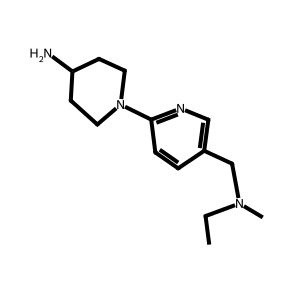 CCN(C)Cc1ccc(N2CCC(N)CC2)nc1